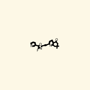 CC1(C)CC(=O)c2ccc(C#Cc3nc(F)c(-c4cccnc4)o3)nc2C1